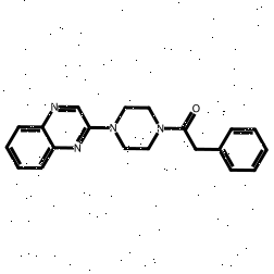 O=C(Cc1ccccc1)N1CCN(c2cnc3ccccc3n2)CC1